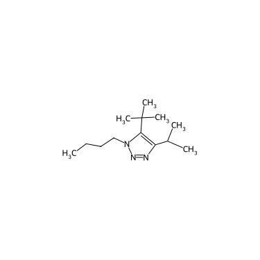 CCCCn1nnc(C(C)C)c1C(C)(C)C